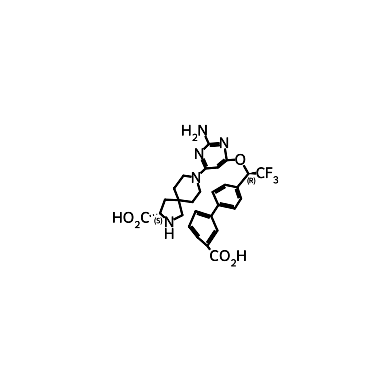 Nc1nc(O[C@H](c2ccc(-c3cccc(C(=O)O)c3)cc2)C(F)(F)F)cc(N2CCC3(CC2)CN[C@H](C(=O)O)C3)n1